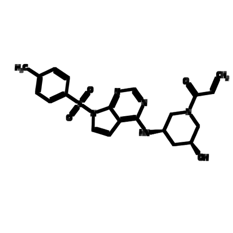 C=CC(=O)N1C[C@@H](O)C[C@@H](Nc2ncnc3c2ccn3S(=O)(=O)c2ccc(C)cc2)C1